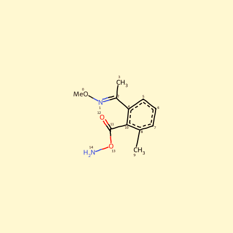 CON=C(C)c1cccc(C)c1C(=O)ON